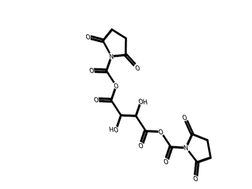 O=C(OC(=O)N1C(=O)CCC1=O)C(O)C(O)C(=O)OC(=O)N1C(=O)CCC1=O